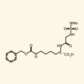 CNS(=O)(=O)NCC(=O)N[C@@H](CCCCNC(=O)OCc1ccccc1)C(=O)O